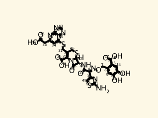 Nc1nc(C(=NOCc2cc(O)c(O)cc2C(=O)O)C(=O)N[C@@H]2C(=O)N3C(C(=O)O)=C(CSc4cc(CC(=O)O)nc5ncnn45)CS[C@H]23)cs1